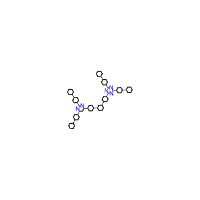 c1ccc(-c2ccc(-c3cc(-c4ccc(-c5cccc(-c6ccc(-c7nc(-c8ccc(-c9ccccc9)cc8)nc(-c8ccc(-c9ccccc9)cc8)n7)cc6)c5)cc4)nc(-c4ccc(-c5ccccc5)cc4)n3)cc2)cc1